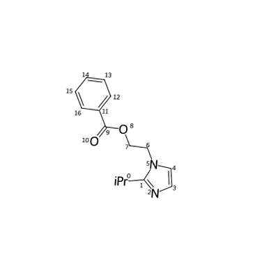 CC(C)c1nccn1CCOC(=O)c1ccccc1